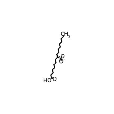 CCCCCCCCC=C(CCCCCCCC(=O)O)[N+](=O)[O-]